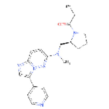 CC(C)CC(=O)N1CCC[C@H]1CN(C)c1ccc2ncc(-c3ccncc3)n2n1